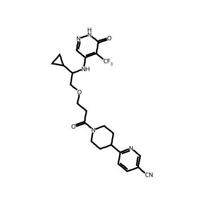 N#Cc1ccc(C2CCN(C(=O)CCOCC(Nc3cn[nH]c(=O)c3C(F)(F)F)C3CC3)CC2)nc1